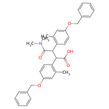 Cc1cc(OCc2ccccc2)ccc1C(C(=O)O)C(C(=O)N(C)C)c1ccc(OCc2ccccc2)cc1C